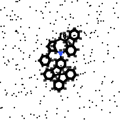 CC1c2ccc(-c3ccccc3)c(c2)N(c2ccc3c(c2)-c2ccccc2C32c3ccccc3-c3ccccc32)c2cccc3c2[C@@H]1c1ccccc1-3